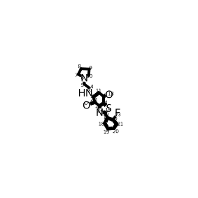 O=C1C(NCCN2CCCC2)=CC(=O)c2sc(-c3ccccc3F)nc21